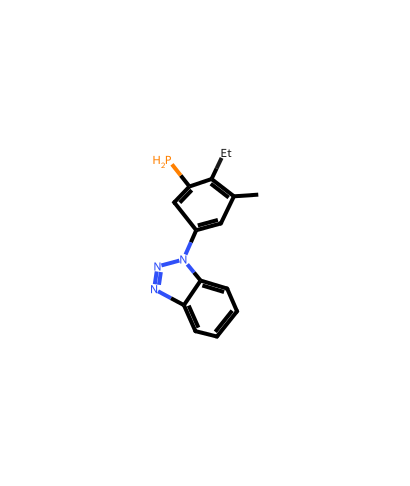 CCc1c(C)cc(-n2nnc3ccccc32)cc1P